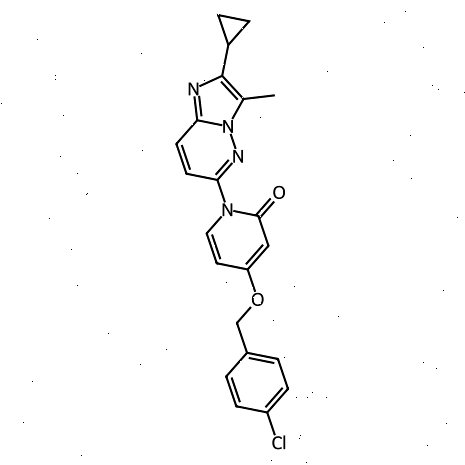 Cc1c(C2CC2)nc2ccc(-n3ccc(OCc4ccc(Cl)cc4)cc3=O)nn12